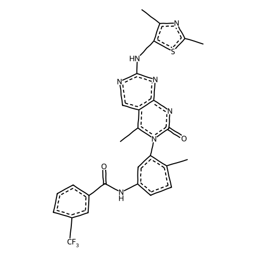 Cc1nc(C)c(Nc2ncc3c(C)n(-c4cc(NC(=O)c5cccc(C(F)(F)F)c5)ccc4C)c(=O)nc3n2)s1